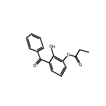 CCC(=O)Oc1cccc(C(=O)c2ccccc2)c1O